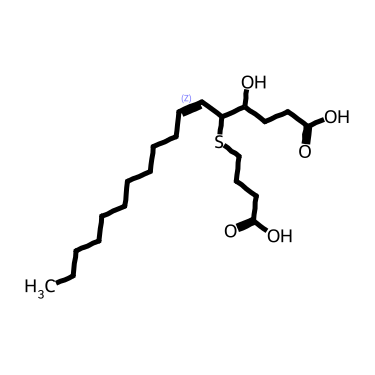 CCCCCCCCCC/C=C\C(SCCCC(=O)O)C(O)CCC(=O)O